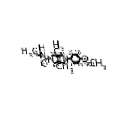 CCNC(=O)N1C[C@@]2(C)CN(c3ccc(OCC)cc3)C[C@@]2(C)C1